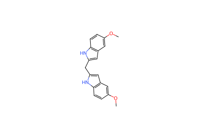 COc1ccc2[nH]c(Cc3cc4cc(OC)ccc4[nH]3)cc2c1